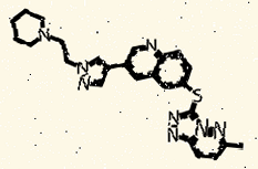 Cc1ccc2nnc(Sc3ccc4ncc(-c5cnn(CCN6CCCCC6)c5)cc4c3)n2n1